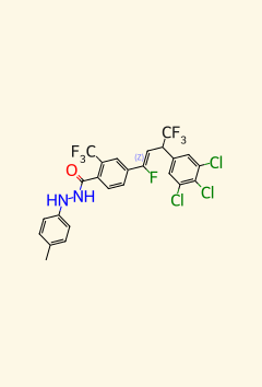 Cc1ccc(NNC(=O)c2ccc(/C(F)=C/C(c3cc(Cl)c(Cl)c(Cl)c3)C(F)(F)F)cc2C(F)(F)F)cc1